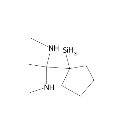 CNC(C)(NC)C1([SiH3])CCCC1